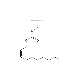 CCCCCCC(C)/C=C\COC(=O)OCC(C)(C)C